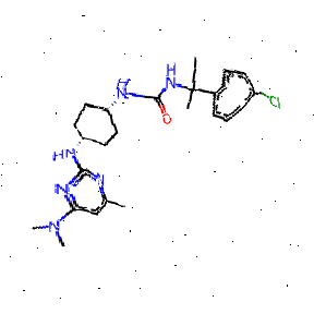 Cc1cc(N(C)C)nc(N[C@H]2CC[C@@H](NC(=O)NC(C)(C)c3ccc(Cl)cc3)CC2)n1